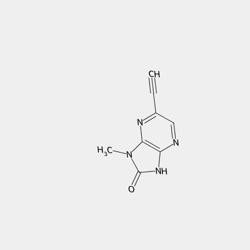 C#Cc1cnc2[nH]c(=O)n(C)c2n1